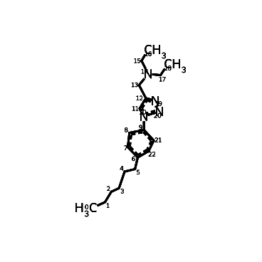 CCCCCCc1ccc(-n2cc(CN(CC)CC)nn2)cc1